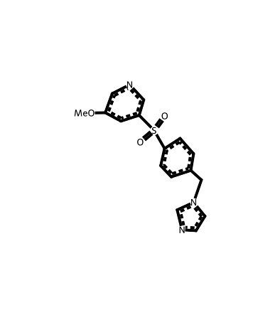 COc1cncc(S(=O)(=O)c2ccc(Cn3ccnc3)cc2)c1